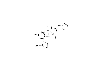 Cc1nc(NNC(=O)[C@H](CC2CCCC2)CN(O)C=O)c(F)c(N2CCC[C@H]2C#N)n1